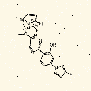 CN(c1cnc(-c2ccc(-n3cc(F)cn3)cc2O)nn1)[C@H]1C[C@@H]2C=C[C@@H](N2)[C@H]1F